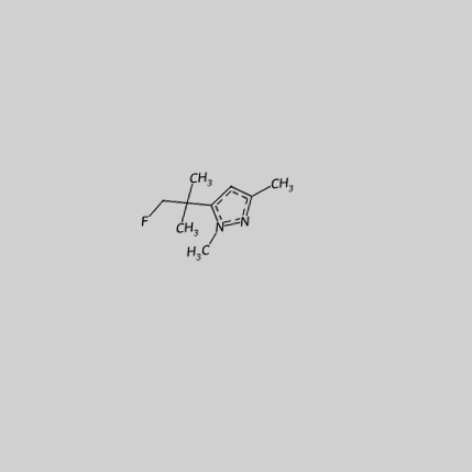 Cc1cc(C(C)(C)CF)n(C)n1